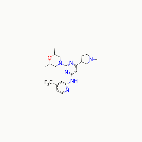 CC1CN(c2nc(Nc3cc(C(F)(F)F)ccn3)cc(C3CCN(C)C3)n2)CC(C)O1